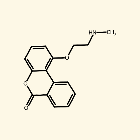 CNCCOc1cccc2oc(=O)c3ccccc3c12